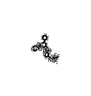 NC(OC(=O)C(F)(F)F)c1ccnc(S(=O)(=O)CC2CC(c3ccccc3)CN(S(=O)(=O)N3CCOCC3)C2)c1